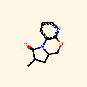 CC1CC2COc3ncccc3N2C1=O